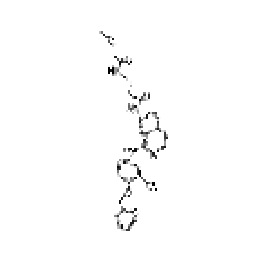 COCC(=O)NCCC(=O)Nc1ccc2ncnc(Nc3ccc(OCc4ccccn4)c(Cl)c3)c2c1